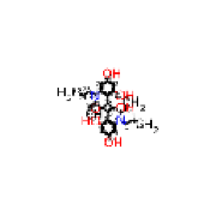 C=CCN(CC=C)c1cc(O)cc(O)c1C1=C(O)C(c2c(O)cc(O)cc2N(CC=C)CC=C)C1=O